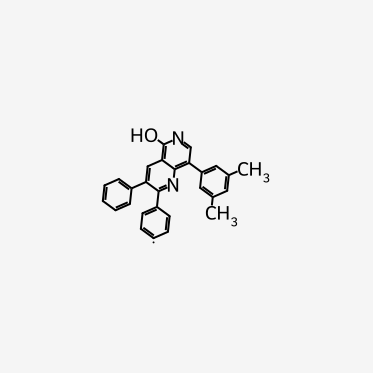 Cc1cc(C)cc(-c2cnc(O)c3cc(-c4ccccc4)c(-c4cc[c]cc4)nc23)c1